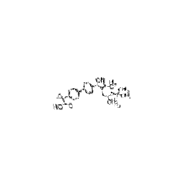 Cc1noc(-c2ccc(-c3ccc(C4(C(=O)O)CC4)cc3)cc2)c1CC(O)SC(C)(C)C